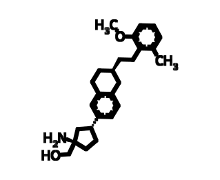 COc1cccc(C)c1CC[C@@H]1CCc2cc([C@@H]3CC[C@](N)(CO)C3)ccc2C1